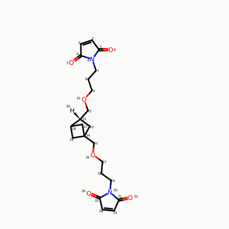 O=C1C=CC(=O)N1CCCOC[C@@H]1CC2(COCCCN3C(=O)C=CC3=O)CC1C2